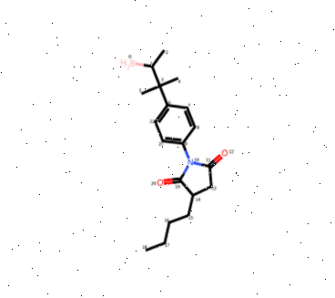 BC(C)C(C)(C)c1ccc(N2C(=O)CC(CCCC)C2=O)cc1